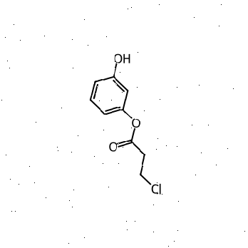 O=C(CCCl)Oc1cccc(O)c1